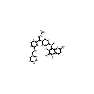 CN(c1c(C#N)c(=O)n(C)c2ccc(C#N)nc12)C1CCC(/C(=N\OC(C)(C)C)c2cccc(CCN3CCOCC3)c2)CC1